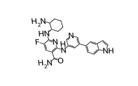 NC(=O)c1cc(F)c(N[C@@H]2CCCCC2N)nc1Nc1cncc(-c2ccc3[nH]ccc3c2)c1